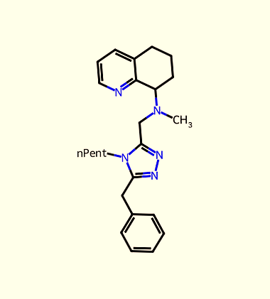 CCCCCn1c(Cc2ccccc2)nnc1CN(C)C1CCCc2cccnc21